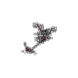 CC(C)[C@H](NC(=O)CCOCCOCCOCCOCCNC(=O)CCN1C(=O)C[C@@H](SC[C@@H](NC(=O)[C@H](CCC(=O)NC[C@H](O)[C@@H](O)[C@H](O)[C@H](O)CO)NC(=O)[C@@H](CCC(=O)O)NC(=O)[C@H](CCC(=O)NC[C@H](O)[C@@H](O)[C@H](O)[C@H](O)CO)NC(=O)[C@@H](CCC(=O)O)NC(=O)[C@@H](N)CCC(=O)NC[C@H](O)[C@@H](O)[C@H](O)[C@H](O)CO)C(=O)O)C1=O)C(=O)N[C@@H](C)C(=O)Nc1ccc(COC=O)cc1